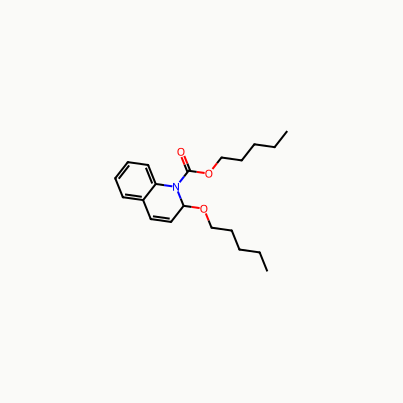 CCCCCOC(=O)N1c2ccccc2C=CC1OCCCCC